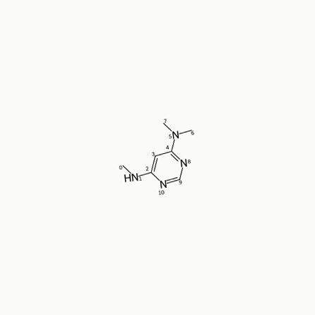 CNc1cc(N(C)C)ncn1